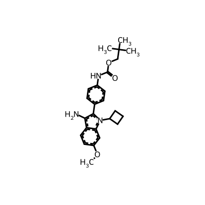 COc1ccc2c(N)c(-c3ccc(NC(=O)OCC(C)(C)C)cc3)n(C3CCC3)c2c1